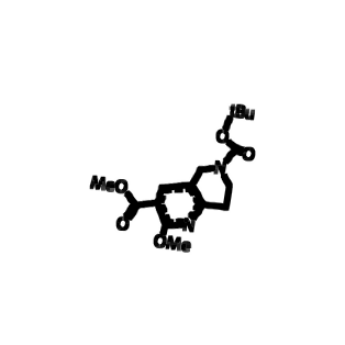 COC(=O)c1cc2c(nc1OC)CCN(C(=O)OC(C)(C)C)C2